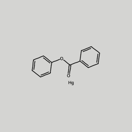 O=C(Oc1ccccc1)c1ccccc1.[Hg]